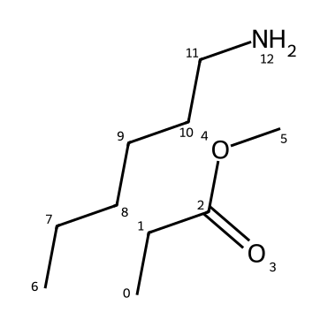 CCC(=O)OC.CCCCCCN